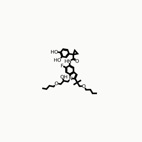 CCCCOCC(O)Cn1c(C(C)(C)COCCCC)cc2cc(NC(=O)C3(c4ccc(O)c(O)c4)CC3)c(F)cc21